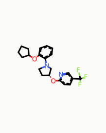 FC(F)(F)c1ccc(O[C@@H]2CCN(c3ccccc3OC3CCCC3)C2)nc1